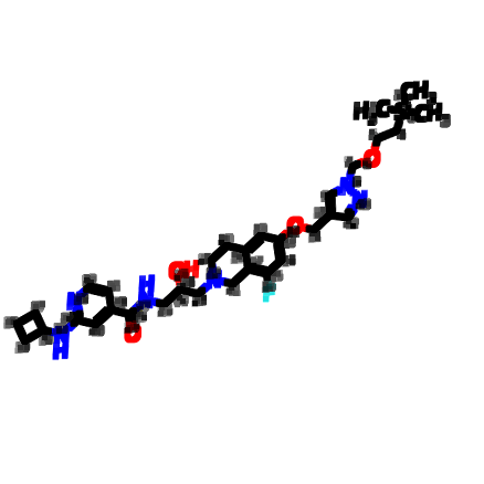 C[Si](C)(C)CCOCn1cc(COc2cc(F)c3c(c2)CCN(C[C@@H](O)CNC(=O)c2ccnc(NC4CCC4)c2)C3)cn1